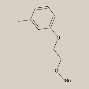 Cc1cccc(OCCOC(C)(C)C)c1